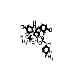 Cc1ccc(NC(=O)O[C@H]2N[C@@H](CC(C)(C)C)[C@@]3(C(=O)Nc4cc(Cl)ccc43)[C@H]2c2cccc(Cl)c2F)cc1